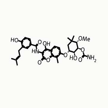 CO[C@@H]1[C@@H](OC(N)=O)[C@@H](O)[C@H](Oc2ccc3c(O)c(NC(=O)c4ccc(O)c(CC=C(C)C)c4)c(=O)oc3c2C)CC1(C)C